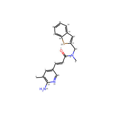 Cc1cc(/C=C/C(=O)N(C)Cc2cc3ccccc3s2)cnc1N